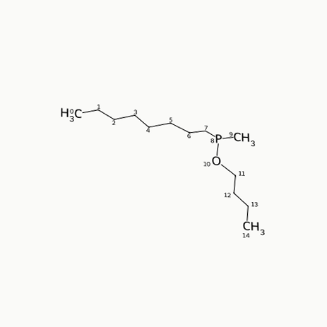 CCCCCCCCP(C)OCCCC